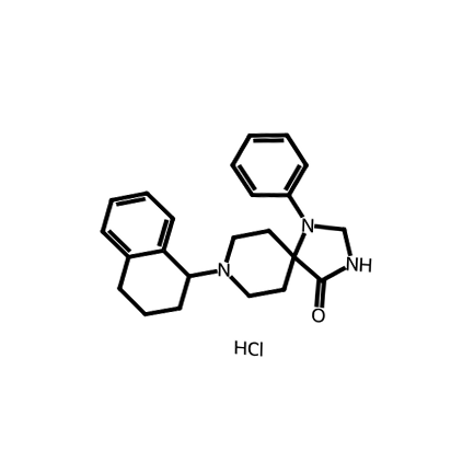 Cl.O=C1NCN(c2ccccc2)C12CCN(C1CCCc3ccccc31)CC2